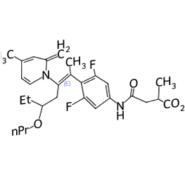 C=C1C=C(C)C=CN1/C(CC(CC)OCCC)=C(\C)c1c(F)cc(NC(=O)CC(C)C(=O)O)cc1F